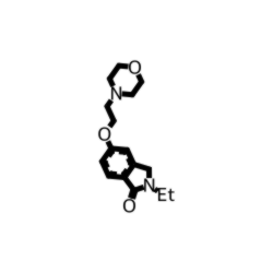 CCN1Cc2cc(OCCN3CCOCC3)ccc2C1=O